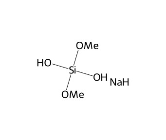 CO[Si](O)(O)OC.[NaH]